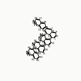 c1ccc2ccccc2c1.c1ccc2cnncc2c1.c1ccc2nnccc2c1.c1ccc2nnccc2c1.c1ccc2nnccc2c1